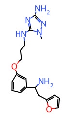 Cn1nc(N)nc1NCCCOc1cccc(C(N)Cc2ccco2)c1